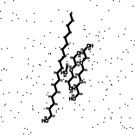 CCCCCCCCCCCCCCCCCCO.CO.OCCOCCO.OCCOCCOCCO